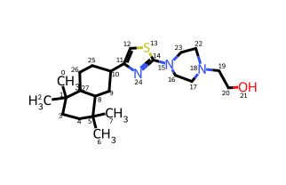 CC1(C)CCC(C)(C)C2CC(c3csc(N4CCN(CCO)CC4)n3)CCC21